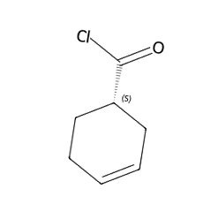 O=C(Cl)[C@@H]1CC=CCC1